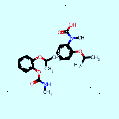 CC(C)Oc1ccccc1N(C)C(=O)O.CNC(=O)Oc1ccccc1OC(C)C